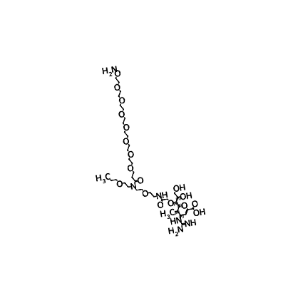 CCCOCCN(CCOCCNC(=O)CO[C@@H]([C@@H]1OC(C(=O)O)=C[C@H](NC(=N)N)[C@H]1C)[C@H](O)CO)C(=O)CCOCCOCCOCCOCCOCCOCCOCCON